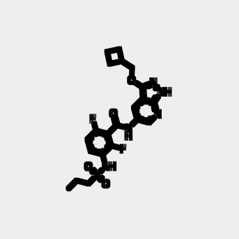 CCCS(=O)(=O)Nc1ccc(F)c(C(=O)Nc2cnc3[nH]nc(OCC4CCC4)c3c2)c1F